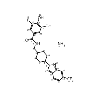 N.O=C(NCC1CCC(n2cc3ccc(C(F)(F)F)cc3n2)CC1)c1cc(F)c(O)c(F)c1